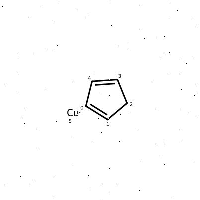 C1=CCC=C1.[Cu]